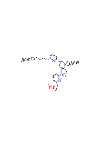 COCCCCc1cccc(-c2cc(OC)c3cnn(-c4cccc(CO)n4)c3c2)n1